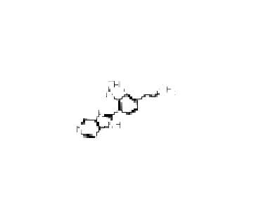 C=CCc1ccc(-c2nc3cnccc3[nH]2)c(OC)c1